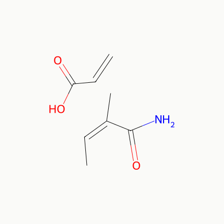 C=CC(=O)O.CC=C(C)C(N)=O